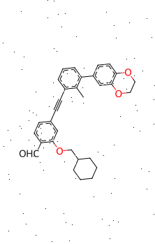 Cc1c(C#Cc2ccc(C=O)c(OCC3CCCCC3)c2)cccc1-c1ccc2c(c1)OCCO2